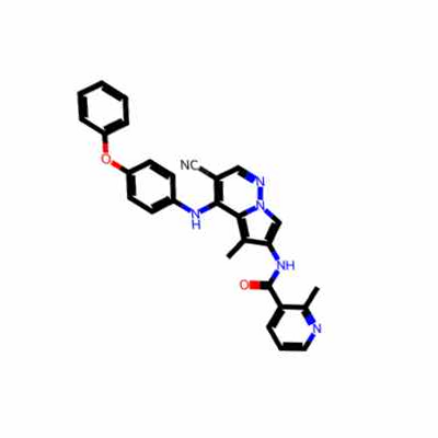 Cc1ncccc1C(=O)Nc1cn2ncc(C#N)c(Nc3ccc(Oc4ccccc4)cc3)c2c1C